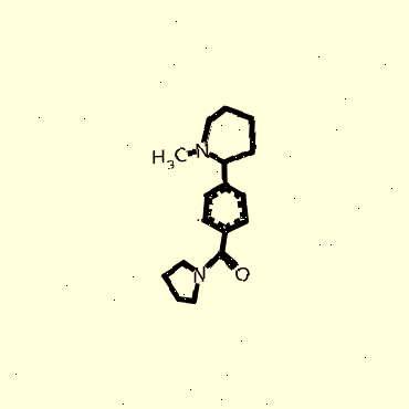 CN1CCCCC1c1c[c]c(C(=O)N2CCCC2)cc1